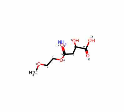 COCCOC(=O)CC(O)C(=O)O.N